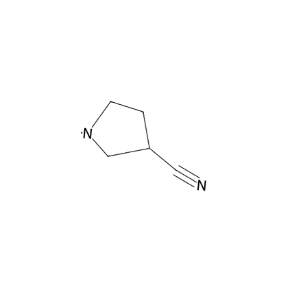 N#CC1CC[N]C1